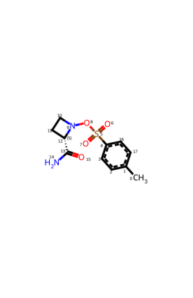 Cc1ccc(S(=O)(=O)ON2CC[C@H]2C(N)=O)cc1